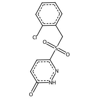 O=c1ccc(S(=O)(=O)Cc2ccccc2Cl)n[nH]1